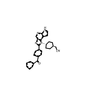 N#CC[C@H]1CC[C@H](n2c(-c3ccc(C(=O)c4ccccc4)cc3)nc3cnc4[nH]ccc4c32)CC1